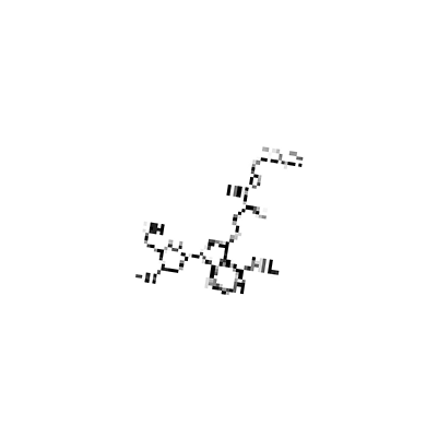 CCOC(=O)CONC(=O)CCc1cn(C2CC(O)C(CO)O2)c2ncnc(N)c12